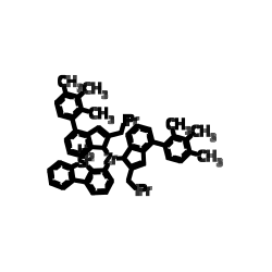 Cc1ccc(-c2cccc3c2C=C(CC(C)C)[CH]3[Zr]([c]2cccc3c2[SiH2]c2ccccc2-3)[CH]2C(CC(C)C)=Cc3c(-c4ccc(C)c(C)c4C)cccc32)c(C)c1C